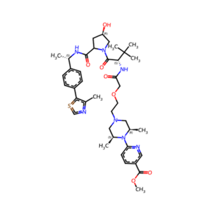 COC(=O)c1ccc(N2[C@H](C)CN(CCOCC(=O)N[C@H](C(=O)N3C[C@H](O)CC3C(=O)N[C@@H](C)c3ccc(-c4scnc4C)cc3)C(C)(C)C)C[C@@H]2C)nc1